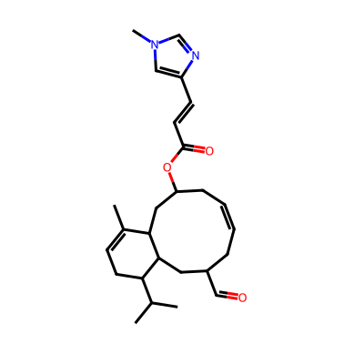 CC1=CCC(C(C)C)C2CC(C=O)CC=CCC(OC(=O)C=Cc3cn(C)cn3)CC12